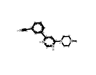 CN1CCN(c2cc(-c3cccc(C#N)c3)ncn2)CC1